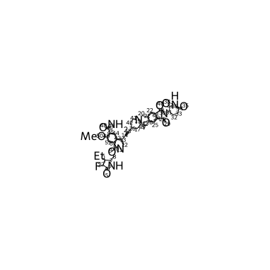 CC[C@@H]1[C@H](F)C(=O)N[C@@H]1COc1ncc(C#CC2CCN(Cc3cc4c(cc3F)C(=O)N(C3CCC(=O)NC3=O)C4=O)CC2)c2cc(C(N)=O)c(OC)cc12